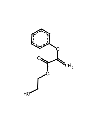 C=C(Oc1ccccc1)C(=O)OCCO